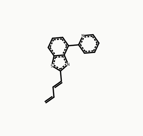 C=CC=Cc1nc2c(-c3ccccn3)cccc2s1